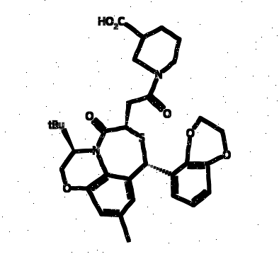 Cc1cc2c3c(c1)[C@@H](c1cccc4c1OCCO4)S[C@H](CC(=O)N1CCCC(C(=O)O)C1)C(=O)N3[C@H](C(C)(C)C)CO2